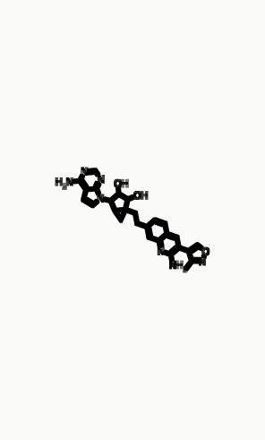 Cc1nocc1-c1cc2ccc(CCC34CC3C(n3ccc5c(N)ncnc53)C(O)C4O)cc2nc1N